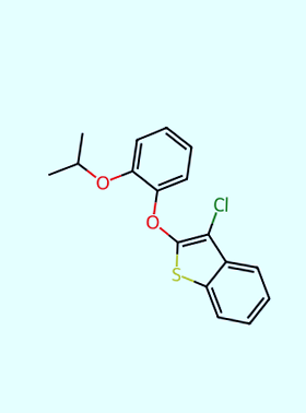 CC(C)Oc1ccccc1Oc1sc2ccccc2c1Cl